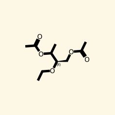 CCO[C@H](COC(C)=O)C(C)OC(C)=O